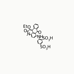 CCOc1c2c3c(c(Nc4ccc(S(=O)(=O)O)cc4S(=O)(=O)O)ccc3n(C)c1=O)C(=O)c1ccccc1-2